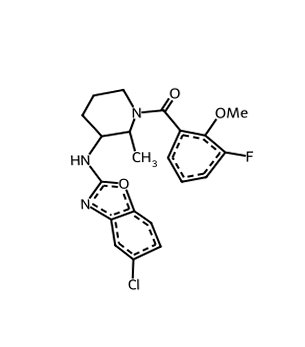 COc1c(F)cccc1C(=O)N1CCCC(Nc2nc3cc(Cl)ccc3o2)C1C